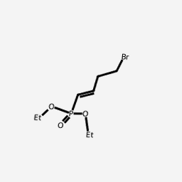 CCOP(=O)(/C=C/CCBr)OCC